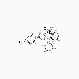 Cc1ccc(C(=O)CS(O[Cl+3]([O-])([O-])[O-])(c2ccccc2)c2ccccc2)cc1